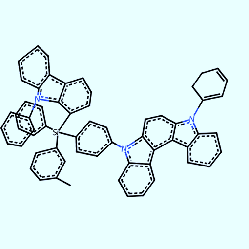 Cc1cccc([Si](c2ccccc2)(c2ccc(-n3c4ccccc4c4c5c6ccccc6n(C6=CC=CCC6)c5ccc43)cc2)c2cccc3c4ccccc4n(-c4ccccc4)c23)c1